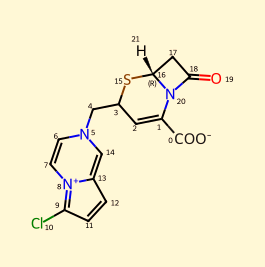 O=C([O-])C1=CC(Cn2cc[n+]3c(Cl)ccc-3c2)S[C@@H]2CC(=O)N12